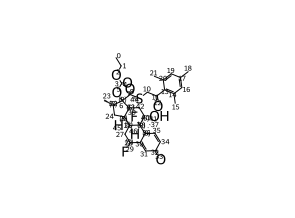 CCOC(=O)O[C@]1(C(=O)SCC(=O)c2c(C)cc(C)cc2C)[C@H](C)C[C@H]2[C@@H]3C[C@H](F)C4=CC(=O)C=C[C@]4(C)[C@@]3(F)[C@@H](O)C[C@@]21C